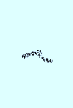 C[C@H]1CN(c2ccc(OC[C@H]3CCn4cc([N+](=O)[O-])nc4O3)cc2)CCN1Cc1ccc(OCc2ccc(C(F)(F)F)cc2)cc1